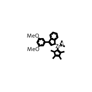 COc1cc(OC)cc(C2=C[CH]([Zr]([C]3=C(C)C(C)=C(C)C3C)=[Si](C)C)c3ccccc32)c1